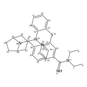 CCN(CC)C(=N)c1ccc2c(c1)Sc1ccccc1N2C1CC2CCC(C1)N2Cc1ccccn1